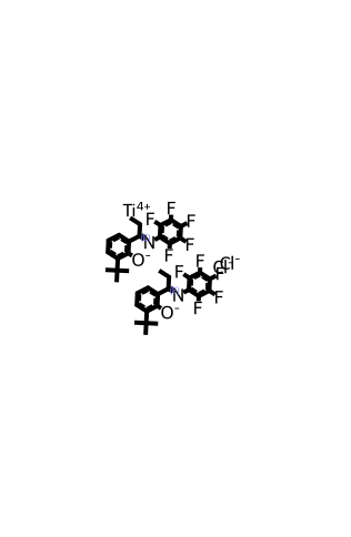 CC/C(=N\c1c(F)c(F)c(F)c(F)c1F)c1cccc(C(C)(C)C)c1[O-].CC/C(=N\c1c(F)c(F)c(F)c(F)c1F)c1cccc(C(C)(C)C)c1[O-].[Cl-].[Cl-].[Ti+4]